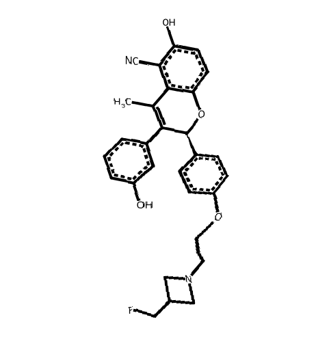 CC1=C(c2cccc(O)c2)[C@H](c2ccc(OCCN3CC(CF)C3)cc2)Oc2ccc(O)c(C#N)c21